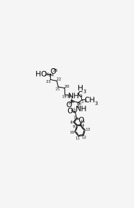 CC(C)[C@H](NC(=O)c1cc2ccccc2o1)C(=O)NCCCCCC(=O)O